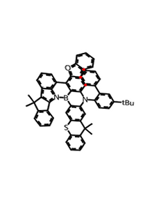 CC(C)(C)c1ccc(N2c3cc4c(cc3B3c5c2cc2c(oc6ccccc62)c5-c2cccc5c6c(n3c25)-c2ccccc2C6(C)C)Sc2ccccc2C4(C)C)c(-c2ccccc2)c1